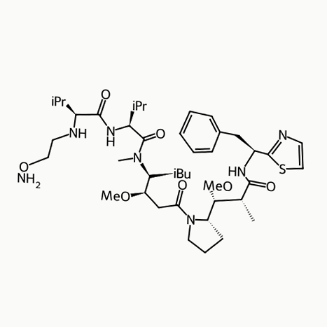 CC[C@H](C)[C@@H]([C@@H](CC(=O)N1CCC[C@H]1[C@H](OC)[C@@H](C)C(=O)N[C@@H](Cc1ccccc1)c1nccs1)OC)N(C)C(=O)[C@@H](NC(=O)[C@@H](NCCON)C(C)C)C(C)C